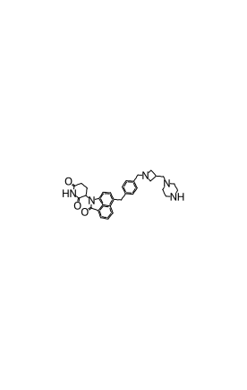 O=C1CCC(N2C(=O)c3cccc4c(Cc5ccc(CN6CC(CN7CCNCC7)C6)cc5)ccc2c34)C(=O)N1